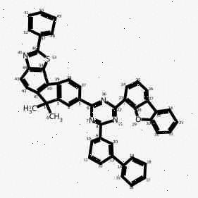 CC1(C)c2cc(-c3nc(-c4cccc(-c5ccccc5)c4)nc(-c4cccc5c4oc4ccccc45)n3)ccc2-c2c1ccc1nc(-c3ccccc3)sc21